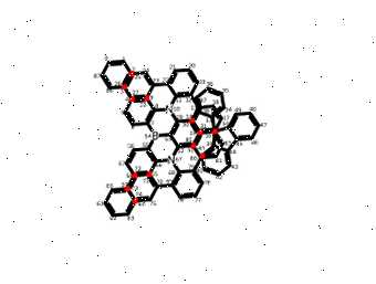 c1ccc(-c2ccc3c(c2)N(c2c(-c4ccccc4)cccc2-c2ccccc2)c2cc(C4(c5ccccc5)c5ccccc5-c5ccccc54)cc4c2B3c2ccc(-c3ccccc3)cc2N4c2c(-c3ccccc3)cccc2-c2ccccc2)cc1